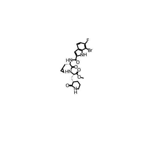 COC(=O)[C@H](C[C@@H]1CCCNC1=O)NC(=O)[C@H](CC1CC1)NC(=O)c1cc2ccc(F)c(Br)c2[nH]1